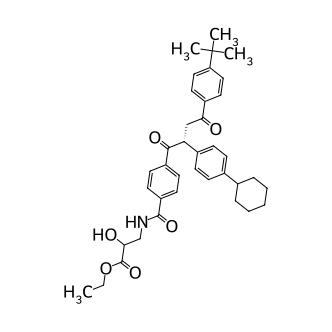 CCOC(=O)C(O)CNC(=O)c1ccc(C(=O)[C@H](CC(=O)c2ccc(C(C)(C)C)cc2)c2ccc(C3CCCCC3)cc2)cc1